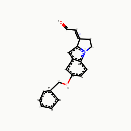 O=C/C=C1/CCn2c1cc1cc(OCc3ccccc3)ccc12